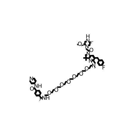 COC[C@H]1CN[C@H](C)CN1CC(=O)N1CC(C)(C)c2nc(CN(C)CCOCCOCCOCCOCCOCCOCCOCCN[C@H](C)c3ccc(C(=O)Nc4ccncc4)cc3)c(Cc3ccc(F)cc3)cc21